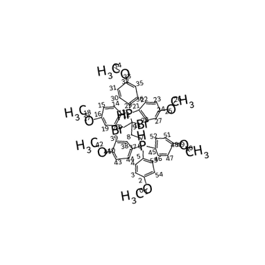 COc1ccc([PH](CCC(Br)(Br)[PH](c2ccc(OC)cc2)(c2ccc(OC)cc2)c2ccc(OC)cc2)(c2ccc(OC)cc2)c2ccc(OC)cc2)cc1